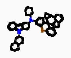 c1ccc(N(c2ccc3c(c2)Sc2ccccc2C32c3ccccc3-c3cccc4cccc2c34)c2ccc3c(c2)c2ccccc2n3-c2ccc3ccccc3c2)cc1